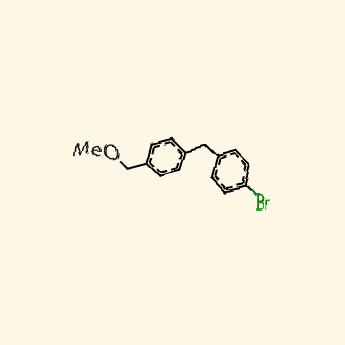 COCc1ccc(Cc2ccc(Br)cc2)cc1